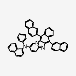 c1ccc(N(c2ccc3nc4c(-c5ccc6ccccc6c5)c5ccccc5c(-c5ccc6ccccc6c5)c4n3c2)c2cccc3ccccc23)cc1